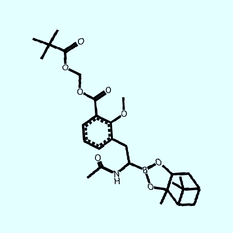 COc1c(CC(NC(C)=O)B2OC3CC4CC(C4(C)C)C3(C)O2)cccc1C(=O)OCOC(=O)C(C)(C)C